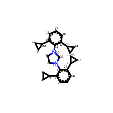 c1cc(C2CC2)c(N2CCN(c3c(C4CC4)cccc3C3CC3)C2)c(C2CC2)c1